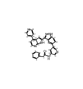 O=C(Cc1ccccc1)Nc1cncc(-c2ccc3[nH]nc(-c4cc5c(-c6ccncc6)ccnc5[nH]4)c3n2)c1